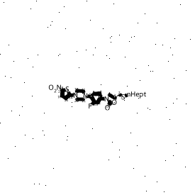 CCCCCCCSC[C@H]1CN(c2ccc(N3CCN(c4ccc([N+](=O)[O-])s4)CC3)c(F)c2)C(=O)O1